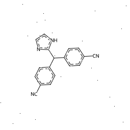 N#Cc1ccc(C(c2ccc(C#N)cc2)c2ncc[nH]2)cc1